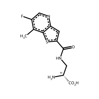 Cc1c(F)cnc2cc(C(=O)NC[C@@H](N)C(=O)O)sc12